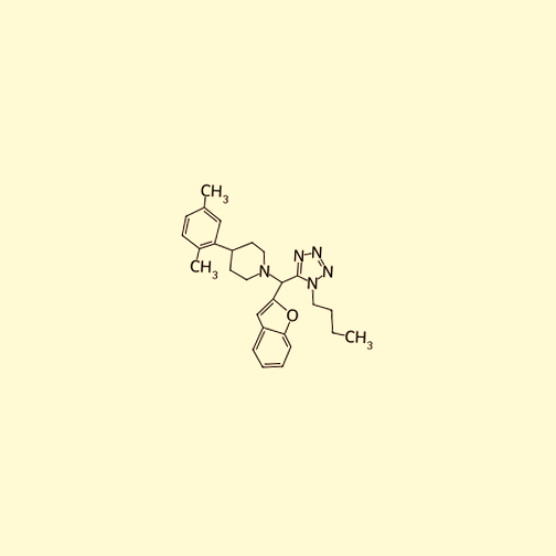 CCCCn1nnnc1C(c1cc2ccccc2o1)N1CCC(c2cc(C)ccc2C)CC1